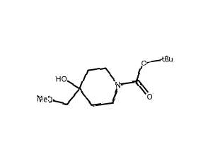 COCC1(O)CCN(C(=O)OC(C)(C)C)CC1